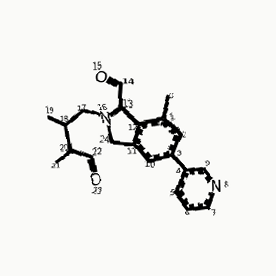 Cc1cc(-c2cccnc2)cc2c1C(C=O)N(CC(C)C(C)C=O)C2